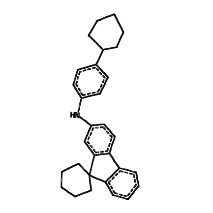 c1ccc2c(c1)-c1ccc(Nc3ccc(C4CCCCC4)cc3)cc1C21CCCCC1